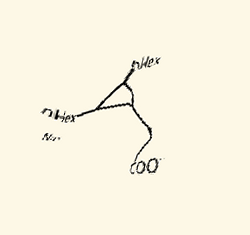 CCCCCCC1C(CCCCCC)C1CC(=O)[O-].[Na+]